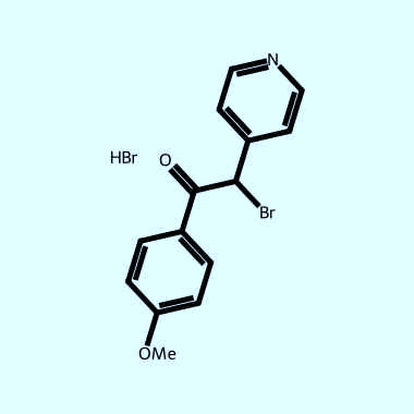 Br.COc1ccc(C(=O)C(Br)c2ccncc2)cc1